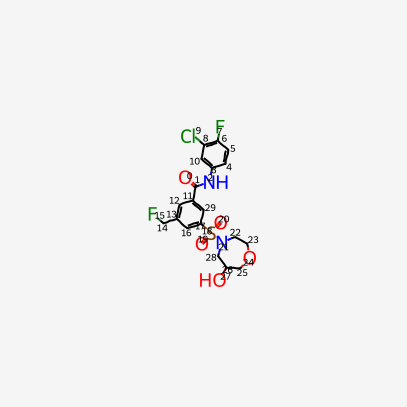 O=C(Nc1ccc(F)c(Cl)c1)c1cc(CF)cc(S(=O)(=O)N2CCOCC(O)C2)c1